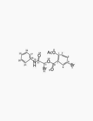 CC(=O)Oc1ccc(Br)cc1C(=O)OC(Br)C(=O)Nc1ccccc1